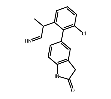 CC(C=N)c1cccc(Cl)c1-c1ccc2c(c1)CC(=O)N2